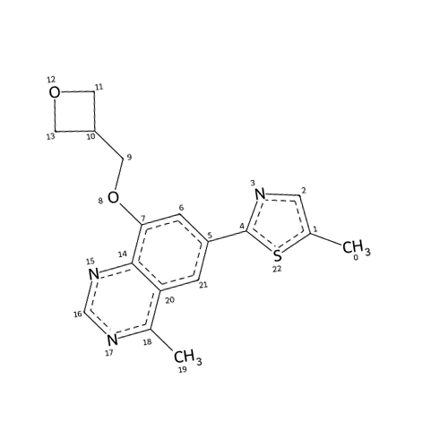 Cc1cnc(-c2cc(OCC3COC3)c3ncnc(C)c3c2)s1